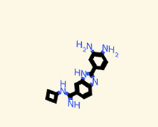 N=C(NC1CCC1)c1ccc2nc(-c3ccc(N)c(N)c3)[nH]c2c1